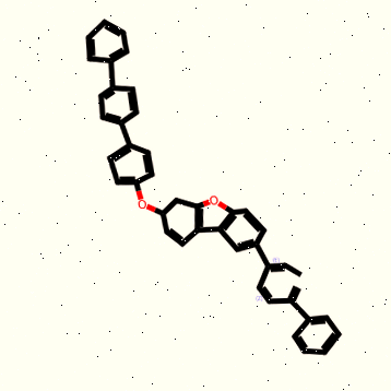 C=C(/C=C\C(=C/C)c1ccc2oc3c(c2c1)C=CC(Oc1ccc(-c2ccc(-c4ccccc4)cc2)cc1)C3)c1ccccc1